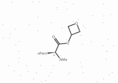 CCCCC[C@H](NC)C(=O)OC1COC1